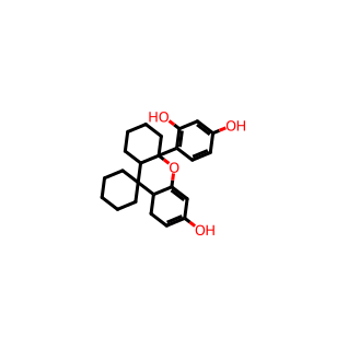 OC1=CCC2C(=C1)OC1(c3ccc(O)cc3O)CCCCC1C21CCCCC1